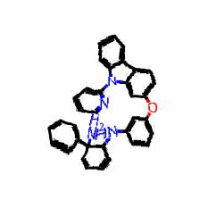 NC1(c2ccccc2)C=CC=CC1Nc1cccc(Oc2ccc3c4ccccc4n(-c4ccccn4)c3c2)c1